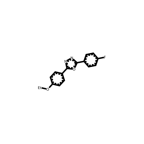 CCOc1ccc(-c2nnc(-c3ccc(F)cc3)o2)cc1